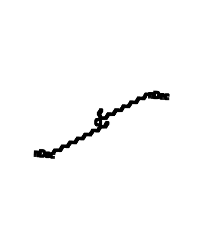 C=CC(CCCCCCCCCCCCCCCCCCCCCC)OC(C=C)CCCCCCCCCCCCCCCCCCCCCC